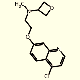 CN(CCOc1ccc2c(Cl)ccnc2c1)C1COC1